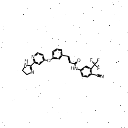 N#Cc1ccc(NC(=O)/C=C/c2cccc(Oc3ccnc(C4=NCCN4)c3)c2)cc1C(F)(F)F